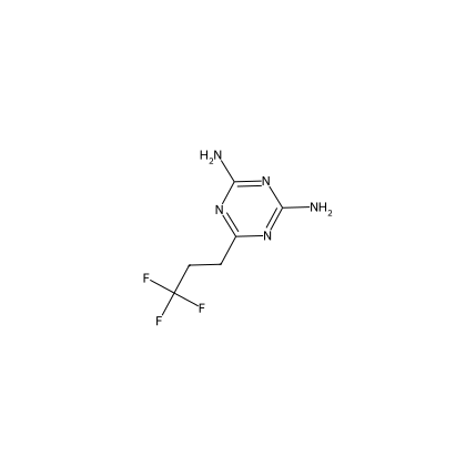 Nc1nc(N)nc(CCC(F)(F)F)n1